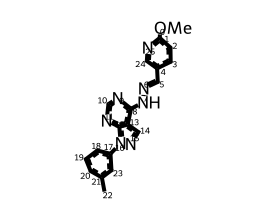 COc1ccc(/C=N/Nc2ncnc3c2cnn3-c2cccc(C)c2)cn1